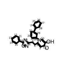 O=c1cc(CCc2noc(-c3ccccc3)n2)n(-c2cccc(-c3ccccc3)c2)cc1O